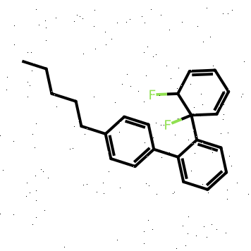 CCCCCc1ccc(-c2ccccc2C2(F)C=CC=CC2F)cc1